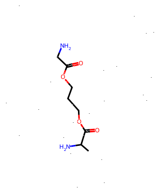 CC(N)C(=O)OCCCOC(=O)CN